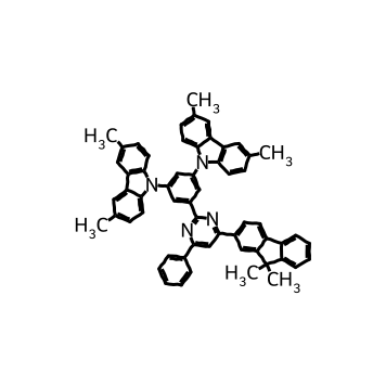 Cc1ccc2c(c1)c1cc(C)ccc1n2-c1cc(-c2nc(-c3ccccc3)cc(-c3ccc4c(c3)C(C)(C)c3ccccc3-4)n2)cc(-n2c3ccc(C)cc3c3cc(C)ccc32)c1